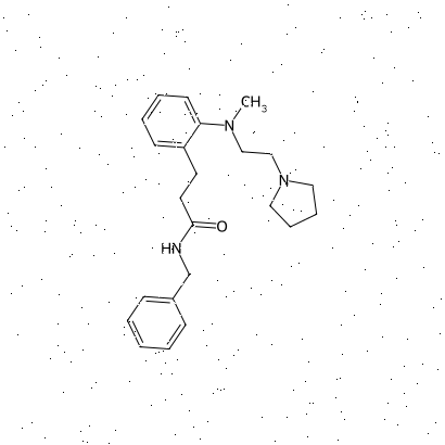 CN(CCN1CCCC1)c1ccccc1CCC(=O)NCc1ccccc1